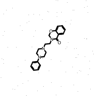 O=C1c2ccccc2OCN1CCN1CCN(c2ccccc2)CC1